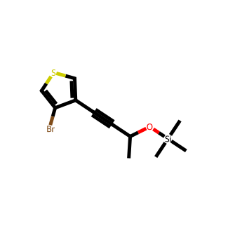 CC(C#Cc1cscc1Br)O[Si](C)(C)C